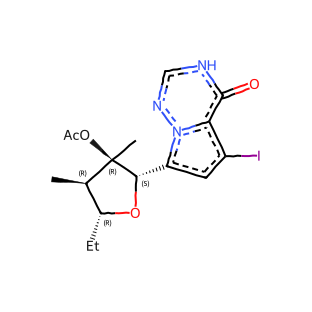 CC[C@H]1O[C@@H](c2cc(I)c3c(=O)[nH]cnn23)[C@](C)(OC(C)=O)[C@@H]1C